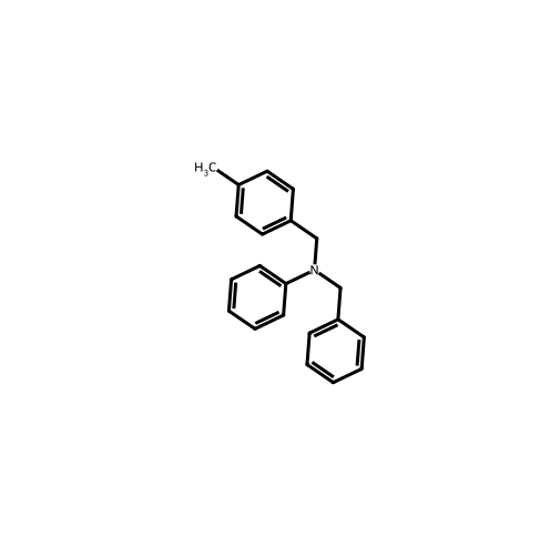 Cc1ccc(CN(Cc2ccccc2)c2ccccc2)cc1